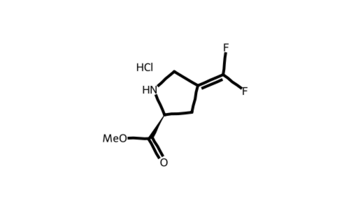 COC(=O)[C@@H]1CC(=C(F)F)CN1.Cl